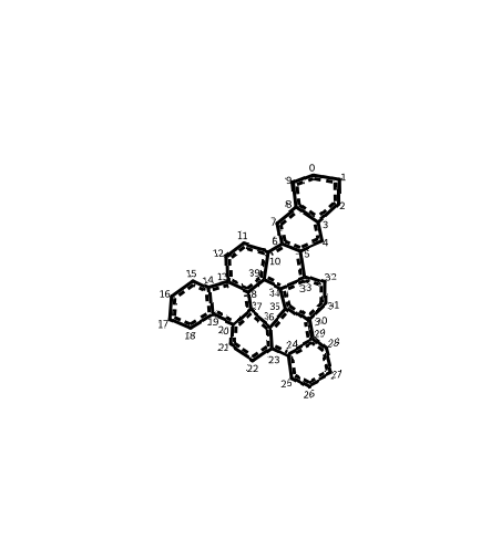 c1ccc2cc3c(cc2c1)c1ccc2c4ccccc4c4ccc5c6ccccc6c6ccc3c3c6c5c4c2c13